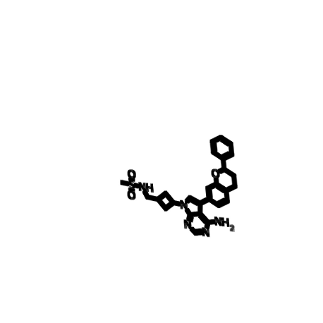 CS(=O)(=O)NCC1CC(n2cc(-c3ccc4c(c3)OC(c3ccccc3)CC4)c3c(N)ncnc32)C1